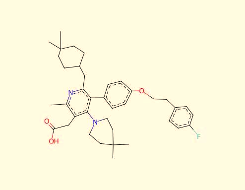 Cc1nc(CC2CCC(C)(C)CC2)c(-c2ccc(OCCc3ccc(F)cc3)cc2)c(N2CCC(C)(C)CC2)c1CC(=O)O